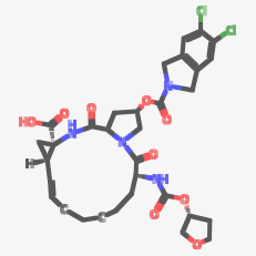 O=C(N[C@H]1CCCCC/C=C\[C@@H]2C[C@@]2(C(=O)O)NC(=O)C2C[C@@H](OC(=O)N3Cc4cc(Cl)c(Cl)cc4C3)CN2C1=O)O[C@@H]1CCOC1